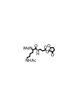 CNC(CCCCNC(C)=O)C(=O)NCCC(=O)ON1C(=O)CCC1=O